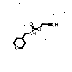 C#CCOC(=O)NCC1CCOCC1